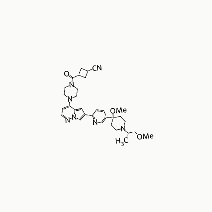 COC[C@H](C)N1CCC(OC)(c2ccc(-c3cc4c(N5CCN(C(=O)C6CC(C#N)C6)CC5)ccnn4c3)nc2)CC1